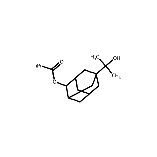 CC(C)C(=O)OC1C2CC3CC1CC(C(C)(C)O)(C3)C2